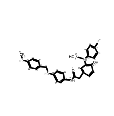 O=C(Cc1ccc(O)c(N(c2ccc(F)cc2)S(=O)(=O)O)c1)Nc1ccc(SCc2ccc(SC(F)(F)F)cc2)cc1